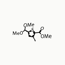 COC(=O)c1sc(C(OC)OC)cc1C